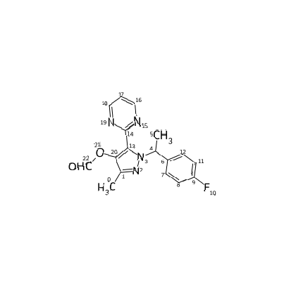 Cc1nn(C(C)c2ccc(F)cc2)c(-c2ncccn2)c1OC=O